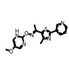 COC1=CNC(O/N=C(\C)c2sc(-c3cccnc3)nc2C)N=C1